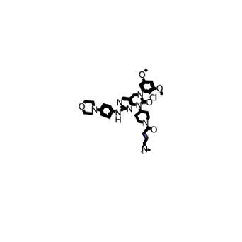 COc1cc(OC)c(Cl)c(N2Cc3cnc(Nc4ccc(N5CCOCC5)cc4)nc3N(C3CCN(C(=O)/C=C/CN(C)C)CC3)C2=O)c1